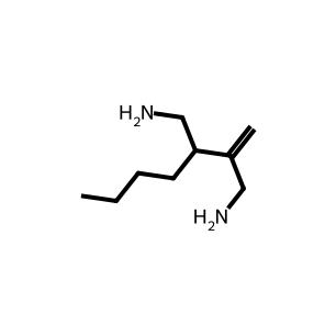 C=C(CN)C(CN)CCCC